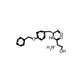 N[C@@H](CO)C(=O)N[C@H]([C]=O)Cc1ccc(OCc2ccccc2)cc1